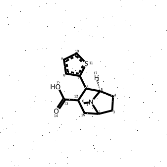 CN1C2CC[C@@H]1C(c1cccs1)C(C(=O)O)C2